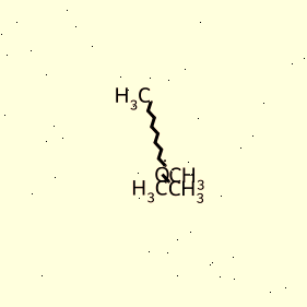 CCCCCCCCC[CH]OC(C)(C)C